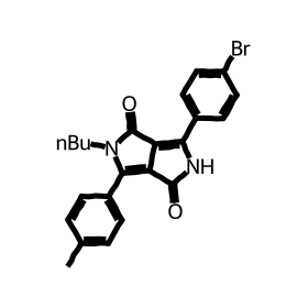 CCCCN1C(=O)C2=C(c3ccc(Br)cc3)NC(=O)C2=C1c1ccc(C)cc1